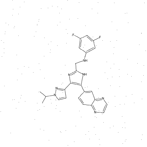 CC(C)n1ccc(-c2nc(CNc3cc(F)cc(F)c3)[nH]c2-c2ccc3nccnc3c2)n1